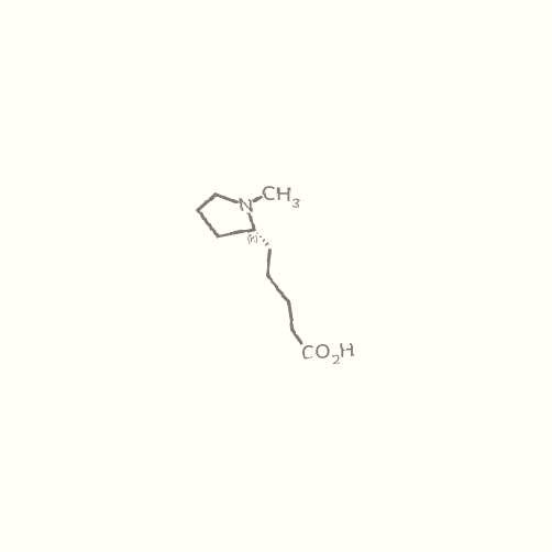 CN1CCC[C@H]1CCCCC(=O)O